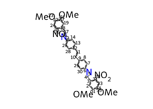 COc1cc(C=Nc2ccc(C=Cc3ccc(N=Cc4cc(OC)c(OC)cc4[N+](=O)[O-])cc3)cc2)c([N+](=O)[O-])cc1OC